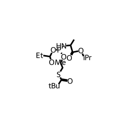 CCC(OC)O[P@](NC(C)C(=O)OC(C)C)OCCSC(=O)C(C)(C)C